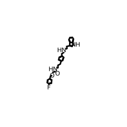 O=C(COCc1ccc(F)cc1)NCCCc1ccc(CCNCCc2c[nH]c3ccccc23)cc1